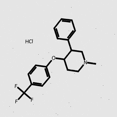 CN1CCC(Oc2ccc(C(F)(F)F)cc2)C(c2ccccc2)C1.Cl